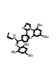 C/C=C\N/C(=N/c1c(C(C)(C)C)cc(C(C)(C)C)cc1C(C)(C)C)c1cccc(-c2nccn2-c2c(C(C)(C)C)cc(C(C)(C)C)cc2C(C)(C)C)c1